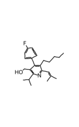 CCCCCc1c(C=C(C)C)nc(C(C)C)c(CO)c1-c1ccc(F)cc1